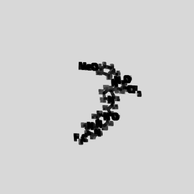 COc1ccc(Cn2nc(C3CCCN(CCC(=O)N4CCN(c5ncc(C(F)(F)F)cn5)CC4)C3)cc(C(F)(F)F)c2=O)cc1